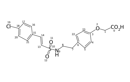 O=C(O)COc1ccc(CCNS(=O)(=O)C=Cc2ccc(Cl)cc2)cc1